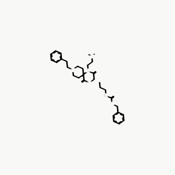 CN(C)CCN1C(=O)[C@H](CCCNC(=O)OCc2ccccc2)NC(=O)C12CCN(CCc1ccccc1)CC2